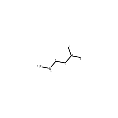 CC(C)CCSF